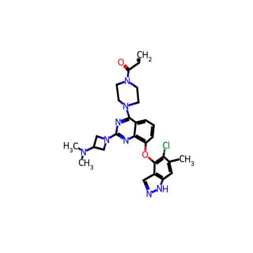 C=CC(=O)N1CCN(c2nc(N3CC(N(C)C)C3)nc3c(Oc4c(Cl)c(C)cc5[nH]ncc45)cccc23)CC1